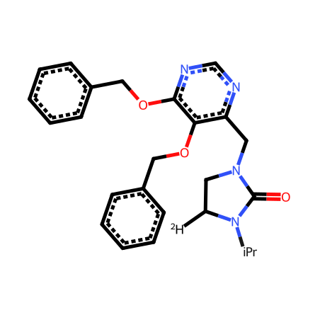 [2H]C1CN(Cc2ncnc(OCc3ccccc3)c2OCc2ccccc2)C(=O)N1C(C)C